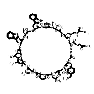 CCCC[C@H]1C(=O)N(C)[C@@H](CCCC)C(=O)N[C@@H](CCCNC(=N)N)C(=O)N[C@H](C(=O)NCC(N)=O)CSCC(=O)N[C@@H](Cc2ccc(CN)cc2)C(=O)N(C)[C@@H](C)C(=O)N[C@@H](CC(N)=O)C(=O)N2CCC[C@H]2C(=O)N[C@@H](CN)C(=O)N[C@H]2CC(C)C3[C@H](O)CC(C(=O)N[C@@H](Cc4c[nH]c5ccccc45)C(=O)N[C@@H](CO)C(=O)N[C@@H](Cc4c[nH]c5ccccc45)C(=O)N1C)N3C2=O